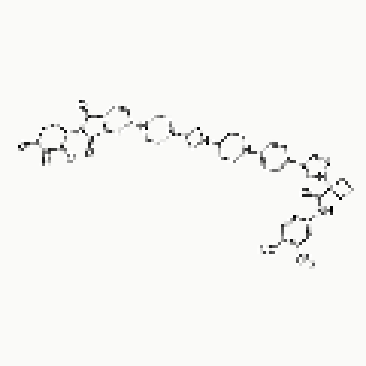 N#Cc1ccc(NC(=O)C2(n3cc(-c4ccc(N5CCC(N6CC(N7CCN(c8ccc9c(c8)C(=O)N(C8CCC(=O)NC8=O)C9=O)CC7)C6)CC5)cc4)cn3)CCC2)cc1C(F)(F)F